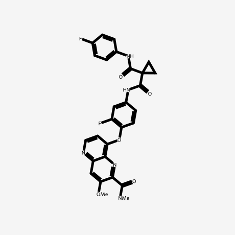 CNC(=O)c1nc2c(Oc3ccc(NC(=O)C4(C(=O)Nc5ccc(F)cc5)CC4)cc3F)ccnc2cc1OC